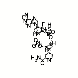 NC(=O)c1cc([C@@H]2C[C@@H]3CO[P@@](=O)(S)O[C@H]4[C@@H](F)[C@H](n5cnc6c5ncn5ccnc65)O[C@@H]4CO[PH](=O)OC[C@H]32)ccn1